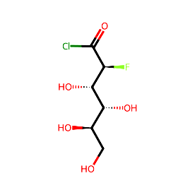 O=C(Cl)[C@@H](F)[C@@H](O)[C@H](O)[C@H](O)CO